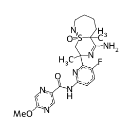 COc1cnc(C(=O)Nc2ccc(F)c(C3(C)CS4(=O)=NCCCCC4(C)C(N)=N3)n2)cn1